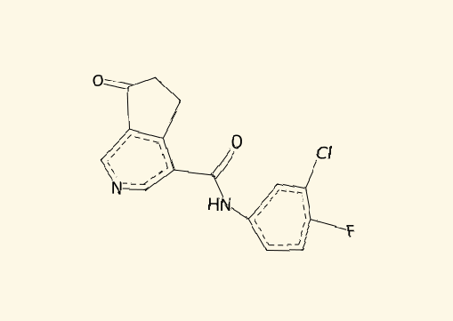 O=C1CCc2c1cncc2C(=O)Nc1ccc(F)c(Cl)c1